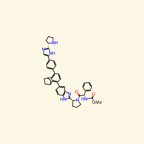 COC(=O)N[C@H](C(=O)N1CCC[C@H]1c1nc2cc(-c3ccc(-c4ccc(-c5cnc([C@@H]6CCCN6)[nH]5)cc4)c4c3C3CCC4C3)ccc2[nH]1)c1ccccc1